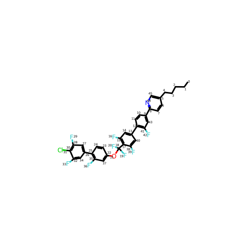 CCCCCc1ccc(-c2ccc(-c3cc(F)c(C(F)(F)Oc4ccc(-c5cc(F)c(Cl)c(F)c5)c(F)c4)c(F)c3)c(F)c2)nc1